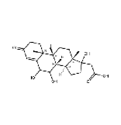 C[C@]12CCC(=O)C=C1C(O)C(O)[C@@H]1[C@H]2CC[C@@]2(C)[C@H]1CCC2(O)CC(=O)O